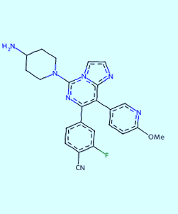 COc1ccc(-c2c(-c3ccc(C#N)c(F)c3)nc(N3CCC(N)CC3)n3ccnc23)cn1